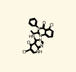 CC(Nc1ncnc2[nH]cc(Cl)c(=O)c12)c1nc2cccc(Cl)c2c(=O)n1-c1ccccc1